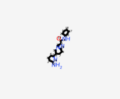 Nc1cccc(-c2ccc3nc(C(=O)Nc4ccccc4)cn3c2)n1